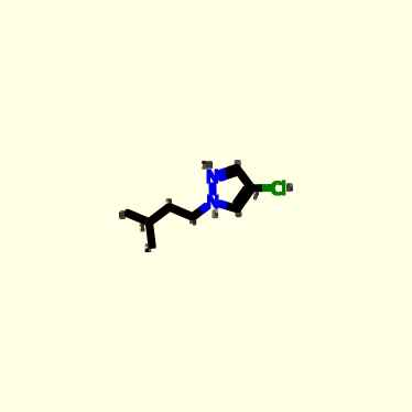 CC(C)CCn1cc(Cl)[c]n1